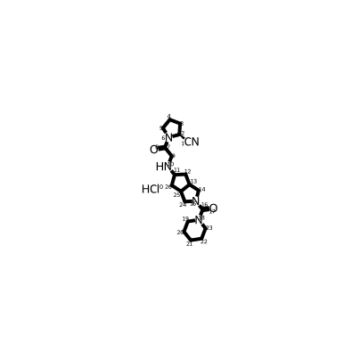 Cl.N#C[C@@H]1CCCN1C(=O)CNC1CC2CN(C(=O)N3CCCCC3)CC2C1